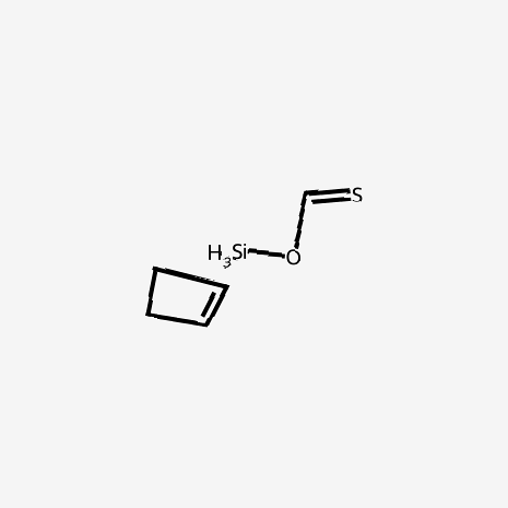 C1=CCC1.[SiH3]OC=S